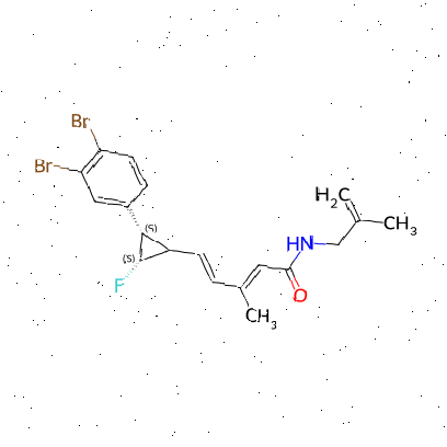 C=C(C)CNC(=O)C=C(C)C=CC1[C@@H](c2ccc(Br)c(Br)c2)[C@H]1F